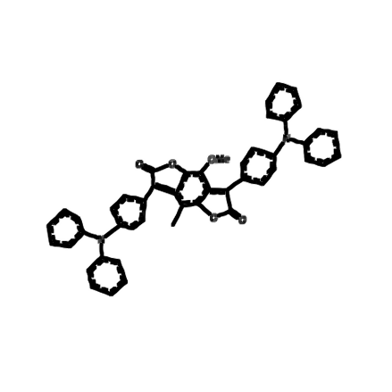 COc1c2c(c(C)c3c1=C(c1ccc(N(c4ccccc4)c4ccccc4)cc1)C(=O)O3)=C(c1ccc(N(c3ccccc3)c3ccccc3)cc1)C(=O)O2